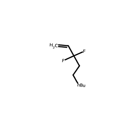 C=CC(F)(F)CCCCCC